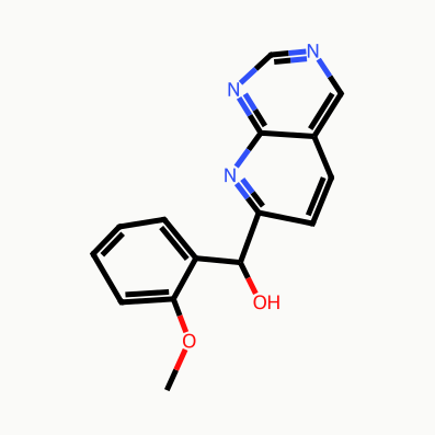 COc1ccccc1C(O)c1ccc2cncnc2n1